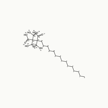 CCCCCCCCCCCCCCCC(C(=O)O)(C(=O)O)C(C(=O)O)(C(=O)O)C(=O)O